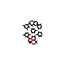 Cc1cc(C)c2c(c1)C1(C)CCc3ccccc3C1(C)N2c1cc2c3c(c1)N(c1ccc(C(C)(C)C)cc1-c1ccccc1)c1cc4c(cc1B3c1cc(C(C)(C)C)ccc1N2c1ccc(C(C)(C)C)cc1)C(C)(C)CCC4(C)C